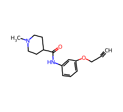 C#CCOc1cccc(NC(=O)C2CCN(C)CC2)c1